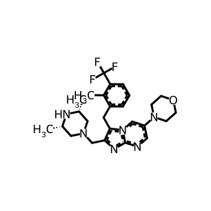 Cc1c(Cc2c(CN3C[C@@H](C)N[C@@H](C)C3)nc3ncc(N4CCOCC4)cn23)cccc1C(F)(F)F